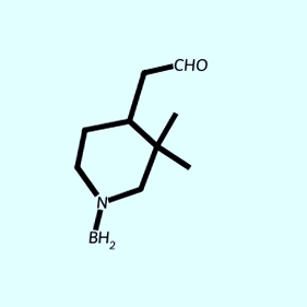 BN1CCC(CC=O)C(C)(C)C1